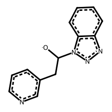 [O]C(Cc1cccnc1)n1nnc2ccccc21